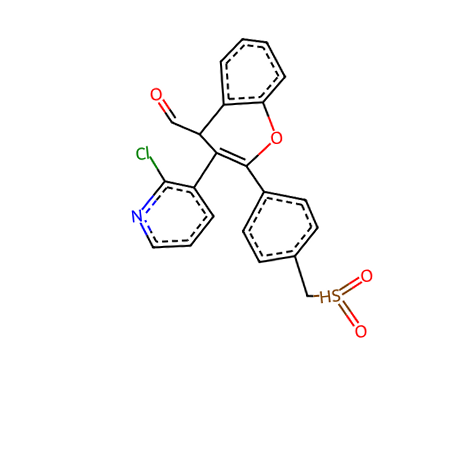 O=CC1C(c2cccnc2Cl)=C(c2ccc(C[SH](=O)=O)cc2)Oc2ccccc21